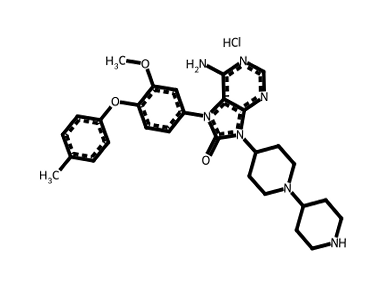 COc1cc(-n2c(=O)n(C3CCN(C4CCNCC4)CC3)c3ncnc(N)c32)ccc1Oc1ccc(C)cc1.Cl